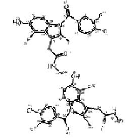 CCCNC(=O)Cc1c(C)n(C(=O)c2ccc(Cl)c(F)c2)c2ccc(O)c(F)c12.Cc1c(CC(=O)NC(C)C)c2c(F)c(O)ccc2n1C(=O)c1ccc(Cl)c(F)c1